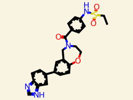 CCS(=O)(=O)Nc1ccc(C(=O)N2CCOc3ccc(-c4ccc5nc[nH]c5c4)cc3C2)cc1